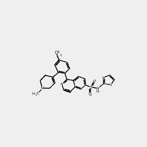 CN1CC=C(c2cc(C(F)(F)F)ccc2-c2nccc3cc(S(=O)(=O)Nc4nccs4)ccc23)CC1